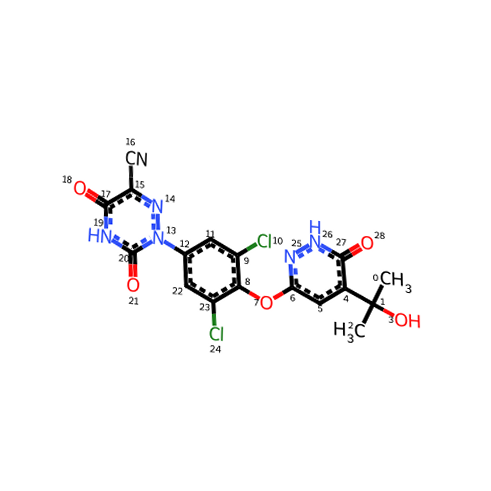 CC(C)(O)c1cc(Oc2c(Cl)cc(-n3nc(C#N)c(=O)[nH]c3=O)cc2Cl)n[nH]c1=O